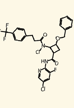 O=C(Nc1ncc(Cl)cc1F)C1CC(OCc2ccccc2)C1N(Cl)C(=O)CCc1ccc(C(F)(F)F)cc1